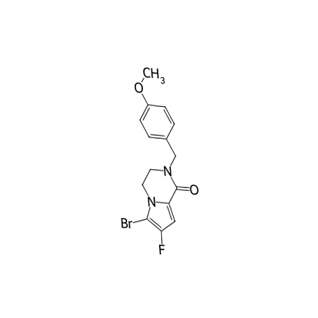 COc1ccc(CN2CCn3c(cc(F)c3Br)C2=O)cc1